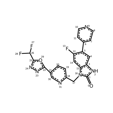 O=c1[nH]c2cc(-c3ccncc3)c(F)cc2n1Cc1ccc(-c2nnc(C(F)F)o2)cn1